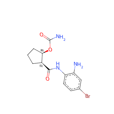 NC(=O)O[C@@H]1CCC[C@@H]1C(=O)Nc1ccc(Br)cc1N